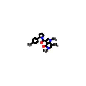 Cc1cn(C)c(=O)c2c(C(=O)N3CCCC3c3ccc(C(F)(F)F)cc3)cn(C)c12